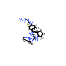 C[C@H]1CCN1c1nc2c(c(-c3ccc4nc(N)sc4c3)n1)CCC2